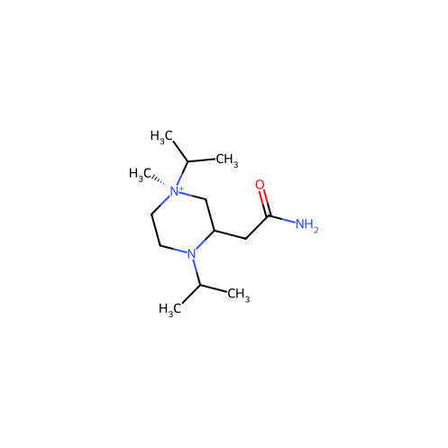 CC(C)N1CC[N@@+](C)(C(C)C)CC1CC(N)=O